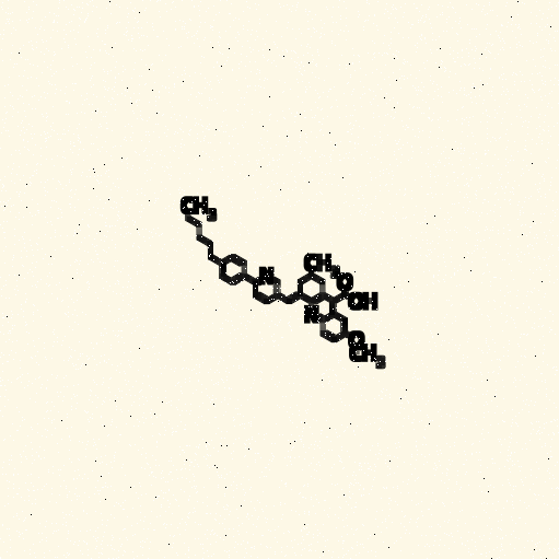 CCCCCCc1ccc(-c2ccc(/C=C3\CC(C)Cc4c3nc3ccc(OC)cc3c4C(=O)O)cn2)cc1